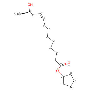 CCCCCC[C@@H](O)C/C=C\CCCCCCCC(=O)OC1CCCC1